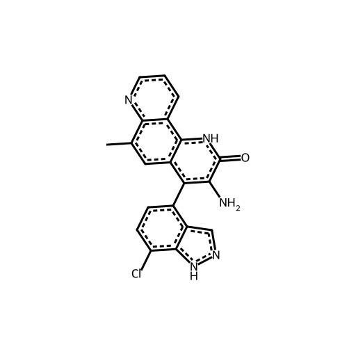 Cc1cc2c(-c3ccc(Cl)c4[nH]ncc34)c(N)c(=O)[nH]c2c2cccnc12